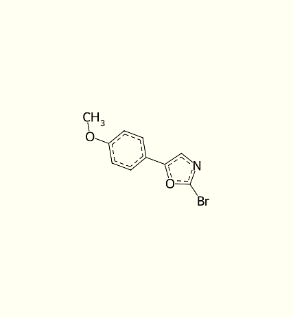 COc1ccc(-c2cnc(Br)o2)cc1